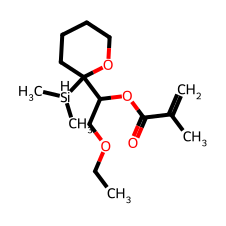 C=C(C)C(=O)OC(COCC)C1([SiH](C)C)CCCCO1